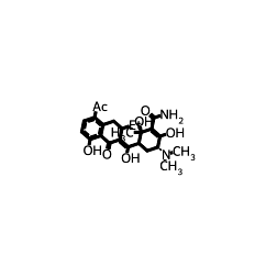 CCC1Cc2c(C(C)=O)ccc(O)c2C(=O)/C1=C(\O)C1C[C@@H](N(C)C)C(O)=C(C(N)=O)C1(C)O